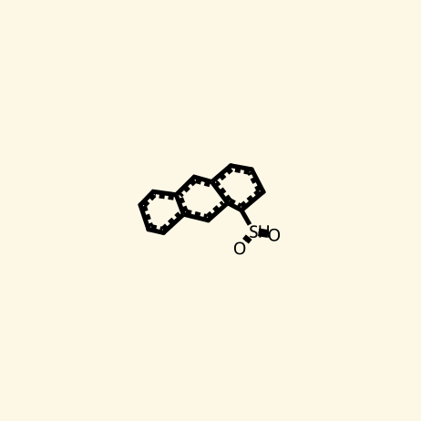 O=[SH](=O)c1cccc2cc3ccccc3cc12